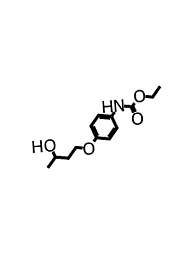 CCOC(=O)Nc1ccc(OCCC(C)O)cc1